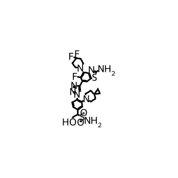 Nc1nc2c(N3CCC(F)(F)CC3)c(F)c(-c3cn(-c4ccc(C(CO)S(N)(=O)=O)cc4N4CCC5(CC4)CC5)nn3)cc2s1